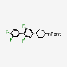 CCCCC[C@H]1CC[C@H](c2cc(F)c(-c3ccc(F)c(F)c3)c(F)c2)CC1